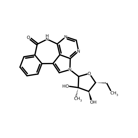 CC[C@H]1OC(n2cc3c4c(ncnc42)NC(=O)c2ccccc2-3)[C@](C)(O)[C@@H]1O